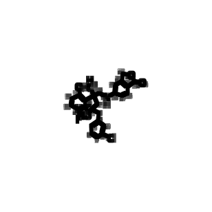 CC(O)(Cc1cccc(Cl)c1)CC(C)(CNc1ccc2c(c1)COC2=O)c1cc(F)ccc1O